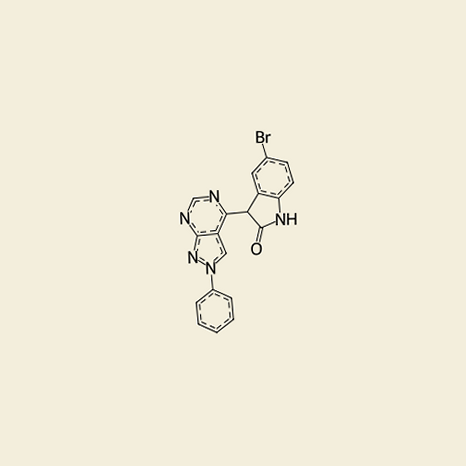 O=C1Nc2ccc(Br)cc2C1c1ncnc2nn(-c3ccccc3)cc12